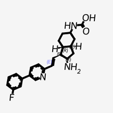 N[C@@H]1C[C@@H]2CC(NC(=O)O)CC[C@H]2[C@@H]1/C=C/c1ccc(-c2cccc(F)c2)cn1